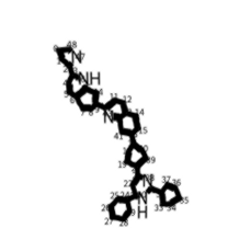 C1=CC(C2C=Cc3ccc(-c4ccc5ccc(-c6ccc(C7=CC(c8ccccc8)NC(c8ccccc8)=N7)cc6)cc5n4)cc3N2)N=C1